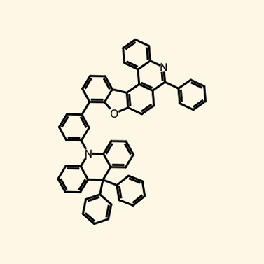 c1ccc(-c2nc3ccccc3c3c2ccc2oc4c(-c5cccc(N6c7ccccc7C(c7ccccc7)(c7ccccc7)c7ccccc76)c5)cccc4c23)cc1